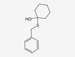 OC1(SCc2ccccc2)CCCCC1